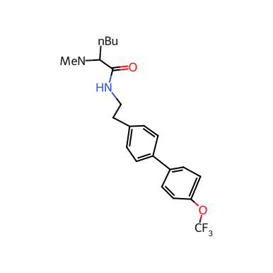 CCCCC(NC)C(=O)NCCc1ccc(-c2ccc(OC(F)(F)F)cc2)cc1